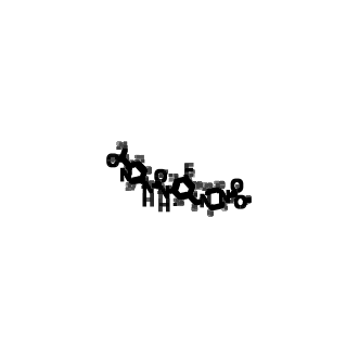 COC(=O)N1CCN(Cc2cc(F)cc(NC(=O)Nc3ccc(C(C)=O)nc3)c2)CC1